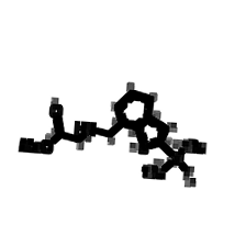 COC(=O)CNCc1cccc2cc([Si](F)(C(C)(C)C)C(C)(C)C)sc12